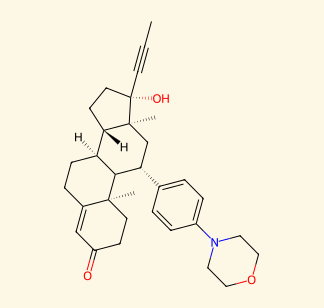 CC#C[C@]1(O)CC[C@H]2[C@@H]3CCC4=CC(=O)CC[C@]4(C)C3[C@@H](c3ccc(N4CCOCC4)cc3)C[C@@]21C